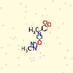 Cc1ncc(OC2CCN(C(C)c3ccc4c(c3)OCO4)CC2)cn1